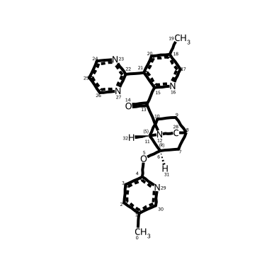 Cc1ccc(O[C@@H]2CC3CC[C@@H]2N(C(=O)c2ncc(C)cc2-c2ncccn2)C3)nc1